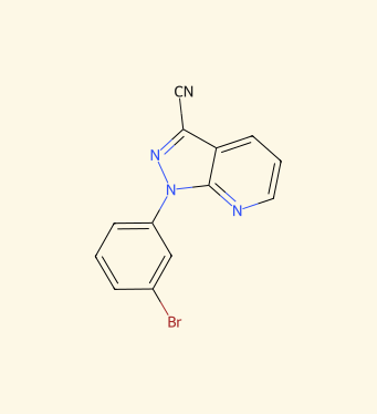 N#Cc1nn(-c2cccc(Br)c2)c2ncccc12